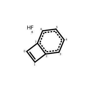 C1=Cc2ccccc21.F